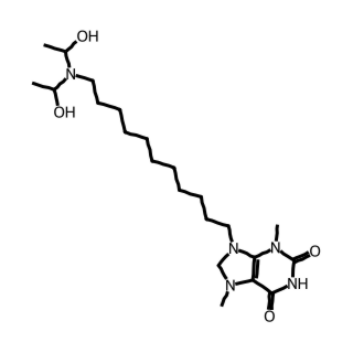 CC(O)N(CCCCCCCCCCCN1CN(C)c2c1n(C)c(=O)[nH]c2=O)C(C)O